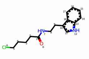 O=C(CCCCCl)NCCc1c[nH]c2ccccc12